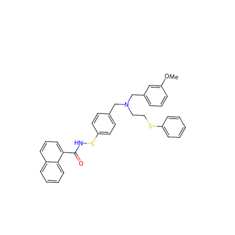 COc1cccc(CN(CCSc2ccccc2)Cc2ccc(SNC(=O)c3cccc4ccccc34)cc2)c1